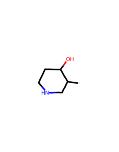 [CH2]C1CNCCC1O